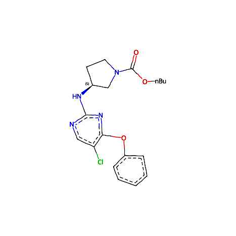 CCCCOC(=O)N1CC[C@H](Nc2ncc(Cl)c(Oc3ccccc3)n2)C1